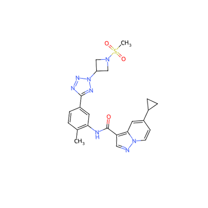 Cc1ccc(-c2nnn(C3CN(S(C)(=O)=O)C3)n2)cc1NC(=O)c1cnn2ccc(C3CC3)cc12